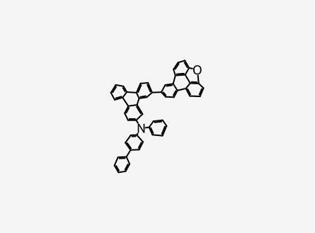 c1ccc(-c2ccc(N(c3ccccc3)c3ccc4c5ccccc5c5ccc(-c6ccc7c(c6)c6cccc8oc9cccc7c9c86)cc5c4c3)cc2)cc1